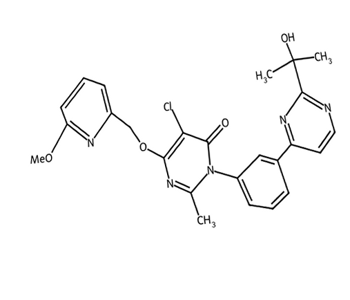 COc1cccc(COc2nc(C)n(-c3cccc(-c4ccnc(C(C)(C)O)n4)c3)c(=O)c2Cl)n1